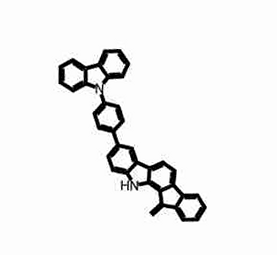 C=C1c2ccccc2-c2ccc3c([nH]c4ccc(-c5ccc(-n6c7ccccc7c7ccccc76)cc5)cc43)c21